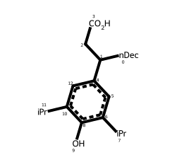 CCCCCCCCCCC(CC(=O)O)c1cc(C(C)C)c(O)c(C(C)C)c1